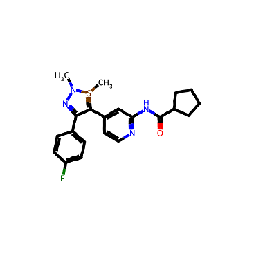 CN1N=C(c2ccc(F)cc2)C(c2ccnc(NC(=O)C3CCCC3)c2)=S1C